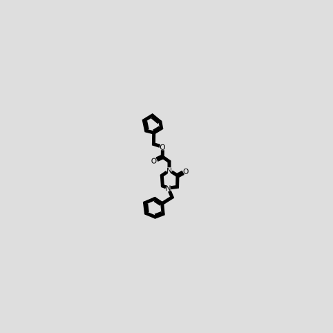 O=C(CN1CCN(Cc2ccccc2)CC1=O)OCc1ccccc1